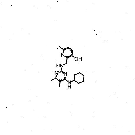 Cc1ccc(O)c(CNc2nc(C)c(C)c(NC3CCCCC3)n2)n1